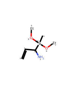 C=CC(N)[Si](C)(OCC)OCC